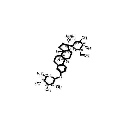 CC(=O)N[C@@H]1[C@@H](O)[C@H](O)[C@@H](CO)O[C@H]1[C@]1(O)CC[C@H]2[C@@H]3CCc4cc(OC5O[C@H](C)[C@@H](O)[C@H](O)[C@H]5O)ccc4[C@H]3CC[C@@]21C